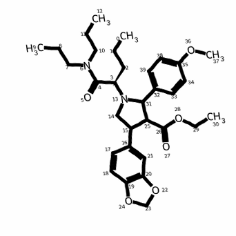 CCC[C@H](C(=O)N(CCC)CCC)N1CC(c2ccc3c(c2)OCO3)C(C(=O)OCC)C1c1ccc(OC)cc1